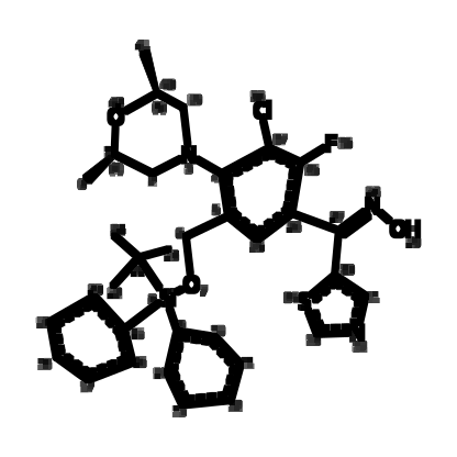 C[C@@H]1CN(c2c(CO[Si](c3ccccc3)(c3ccccc3)C(C)(C)C)cc(C(=NO)c3cncs3)c(F)c2Cl)C[C@H](C)O1